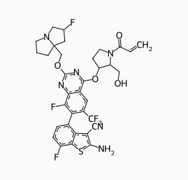 C=CC(=O)N1CCC(Oc2nc(OCC34CCCN3CC(F)C4)nc3c(F)c(-c4ccc(F)c5sc(N)c(C#N)c45)c(C(F)(F)F)cc23)C1CO